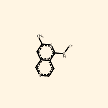 Cc1cc2cnccc2c(NC(C)C)n1